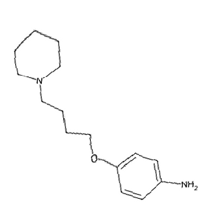 Nc1ccc(OCCCCN2CCCCC2)cc1